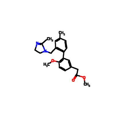 COC(=O)Cc1ccc(OC)c(-c2ccc(C)cc2CN2CCN=C2C)c1